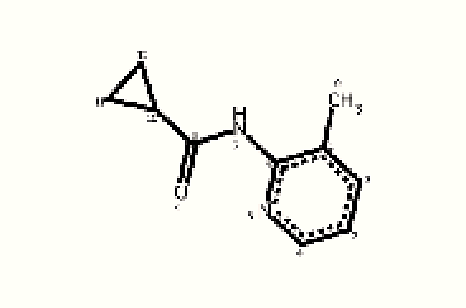 Cc1cccnc1NC(=O)C1CC1